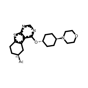 CC(=O)[C@H]1CCc2sc3ncnc(O[C@H]4CC[C@H](N5CCOCC5)CC4)c3c2C1